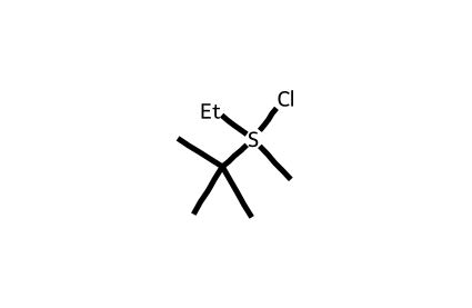 CCS(C)(Cl)C(C)(C)C